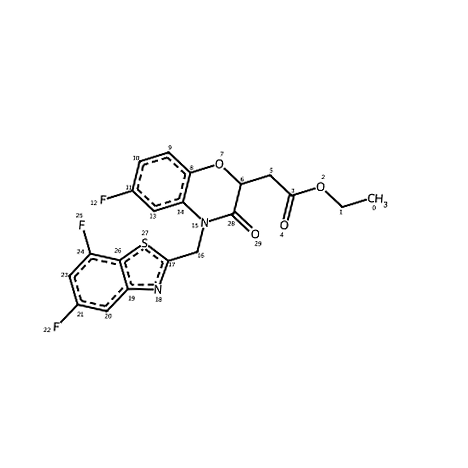 CCOC(=O)CC1Oc2ccc(F)cc2N(Cc2nc3cc(F)cc(F)c3s2)C1=O